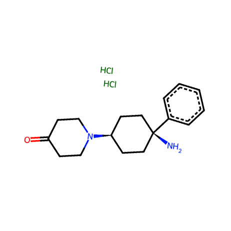 Cl.Cl.N[C@]1(c2ccccc2)CC[C@H](N2CCC(=O)CC2)CC1